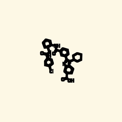 O=C(O)c1ccc2c(c1)nc(-c1cccc(C(=O)Nc3ccccc3NC(=O)c3ccc(Cl)cc3)c1)n2C1CCCCC1